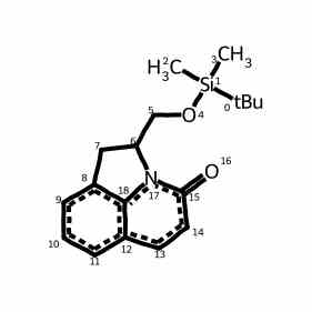 CC(C)(C)[Si](C)(C)OCC1Cc2cccc3ccc(=O)n1c23